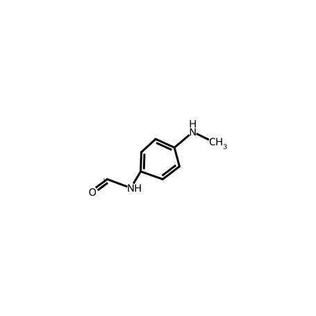 CNc1ccc(N[C]=O)cc1